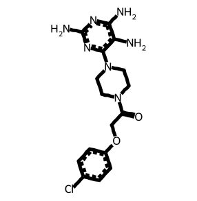 Nc1nc(N)c(N)c(N2CCN(C(=O)COc3ccc(Cl)cc3)CC2)n1